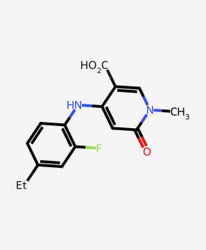 CCc1ccc(Nc2cc(=O)n(C)cc2C(=O)O)c(F)c1